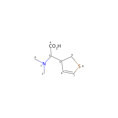 CN(C)C(C(=O)O)C1C=CSC1